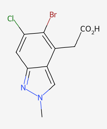 Cn1cc2c(CC(=O)O)c(Br)c(Cl)cc2n1